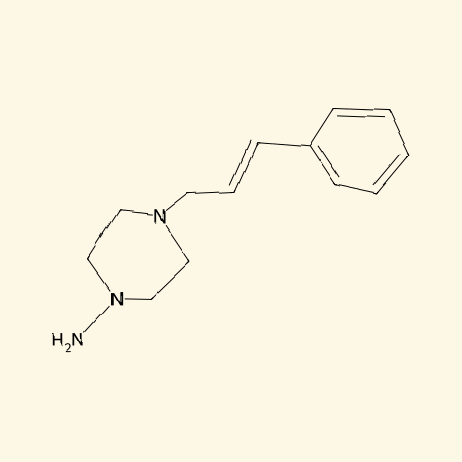 NN1CCN(CC=Cc2ccccc2)CC1